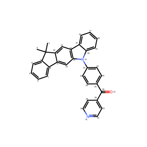 CC1(C)c2ccccc2-c2cc3c(cc21)c1ccccc1n3-c1ccc(C(=O)c2ccncc2)cc1